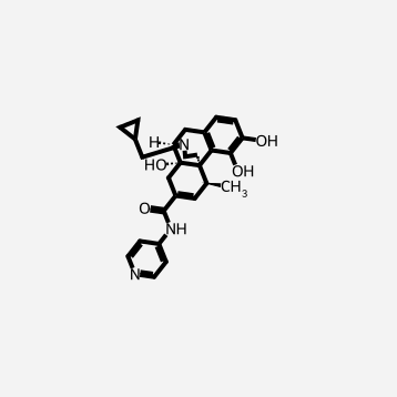 C[C@H]1C=C(C(=O)Nc2ccncc2)C[C@@]2(O)[C@H]3Cc4ccc(O)c(O)c4[C@@]12CCN3CC1CC1